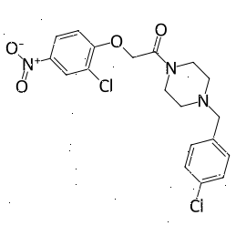 O=C(COc1ccc([N+](=O)[O-])cc1Cl)N1CCN(Cc2ccc(Cl)cc2)CC1